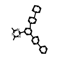 Cc1nc(C)nc(-c2cc(-c3ccc(-c4ccccc4)cc3)cc(-c3ccc(-c4ccccc4)cc3)c2)n1